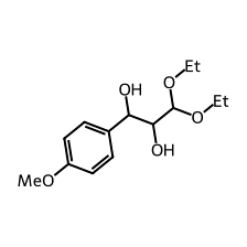 CCOC(OCC)C(O)C(O)c1ccc(OC)cc1